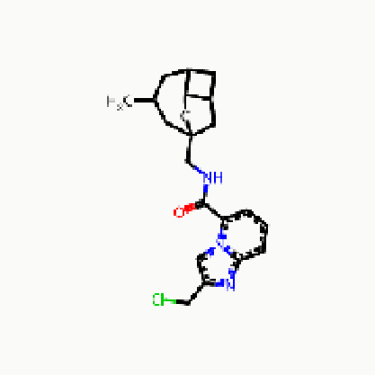 CC1CC2CC3CC(CNC(=O)c4cccc5nc(CCl)cn45)(C1)CC23